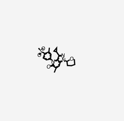 Cc1cc(-n2c(=O)c(C)cc3c2c(C2CC2)nn3C2CCCCO2)ccc1S(C)(=O)=O